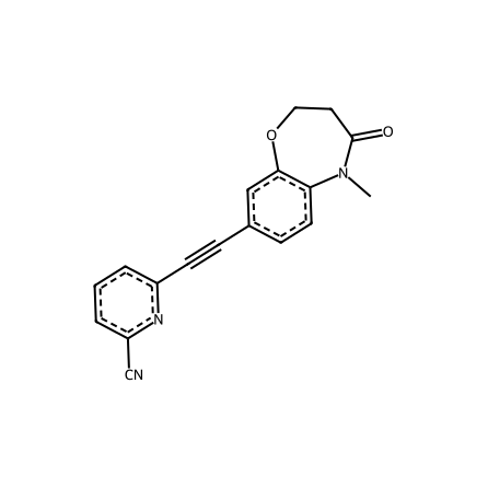 CN1C(=O)CCOc2cc(C#Cc3cccc(C#N)n3)ccc21